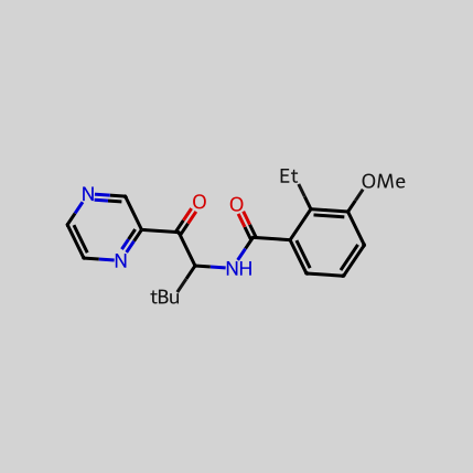 CCc1c(OC)cccc1C(=O)NC(C(=O)c1cnccn1)C(C)(C)C